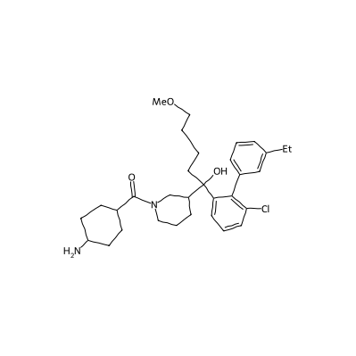 CCc1cccc(-c2c(Cl)cccc2C(O)(CCCCOC)C2CCCN(C(=O)C3CCC(N)CC3)C2)c1